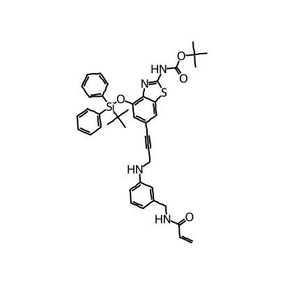 C=CC(=O)NCc1cccc(NCC#Cc2cc(O[Si](c3ccccc3)(c3ccccc3)C(C)(C)C)c3nc(NC(=O)OC(C)(C)C)sc3c2)c1